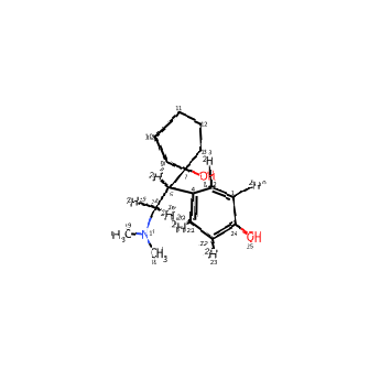 [2H]c1c([2H])c(C([2H])(C2(O)CCCCC2)C([2H])([2H])N(C)C)c([2H])c([2H])c1O